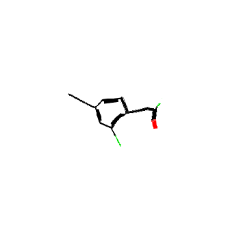 Cc1ccc(C(=O)Cl)c(Cl)c1